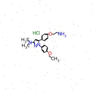 CCOc1ccc(-n2nc(N(C)C)cc2-c2ccc(OCCN)cc2)cc1.Cl